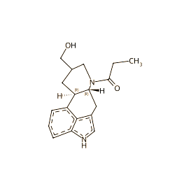 CCC(=O)N1CC(CO)C[C@@H]2c3cccc4[nH]cc(c34)C[C@H]21